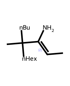 C/C=C(\N)C(C)(CCCC)CCCCCC